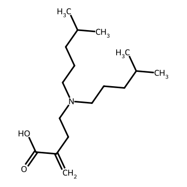 C=C(CCN(CCCC(C)C)CCCC(C)C)C(=O)O